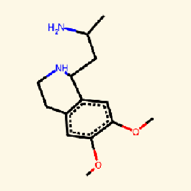 COc1cc2c(cc1OC)C(CC(C)N)NCC2